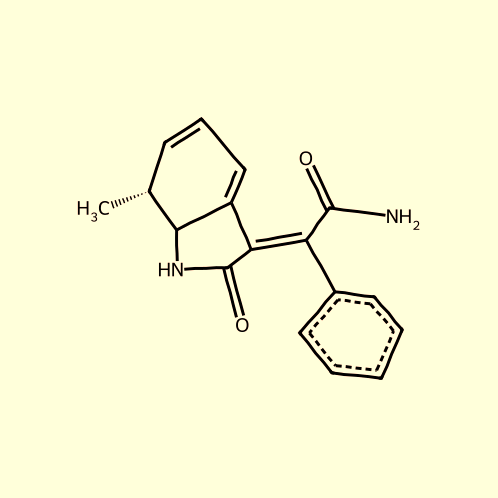 C[C@@H]1C=CC=C2/C(=C(\C(N)=O)c3ccccc3)C(=O)NC21